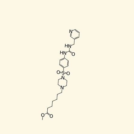 COC(=O)CCCCCCN1CCN(S(=O)(=O)c2ccc(NC(=O)NCc3cccnc3)cc2)CC1